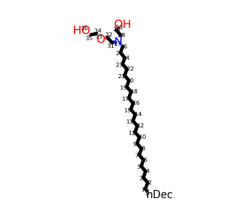 CCCCCCCCCCCCCCCCCCCCCCCCCCCCCCCCCCCCN(CCO)CCOCCO